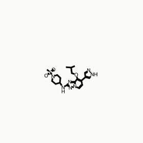 CC(C)COc1c(-c2cn[nH]c2)ccn2nc(NC3CCN(S(C)(=O)=O)CC3)nc12